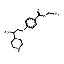 CCOC(=O)c1ccc(OCC(C)C2CCNCC2)cc1